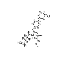 CCOC(=O)[C@H](C)CC(Cc1ccc(-c2cccc(Cl)c2)cc1)NC(=O)C(F)(F)C(F)(F)C(=O)O